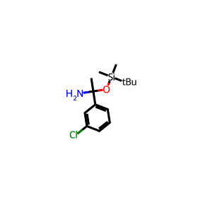 CC(N)(O[Si](C)(C)C(C)(C)C)c1cccc(Cl)c1